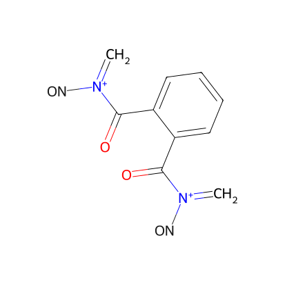 C=[N+](N=O)C(=O)c1ccccc1C(=O)[N+](=C)N=O